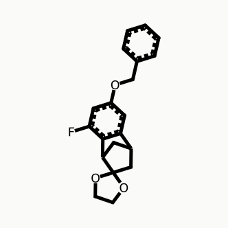 Fc1cc(OCc2ccccc2)cc2c1C1CC2CC12OCCO2